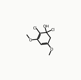 COC1=CC(OC)=C(Cl)C(O)(Cl)C1